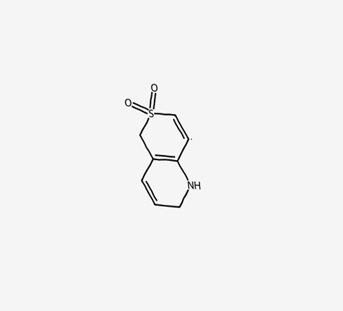 O=S1(=O)C=[C]C2=C(C=CCN2)C1